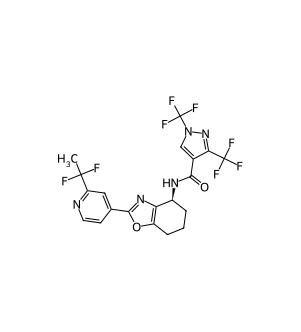 CC(F)(F)c1cc(-c2nc3c(o2)CCC[C@@H]3NC(=O)c2cn(C(F)(F)F)nc2C(F)(F)F)ccn1